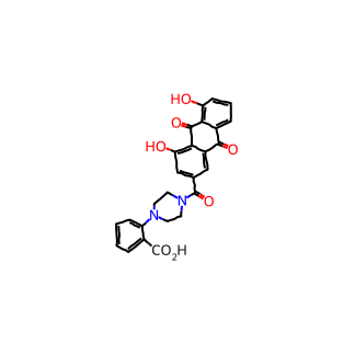 O=C(O)c1ccccc1N1CCN(C(=O)c2cc(O)c3c(c2)C(=O)c2cccc(O)c2C3=O)CC1